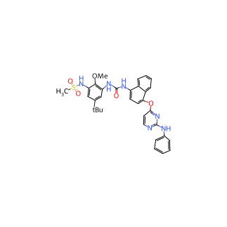 COc1c(NC(=O)Nc2ccc(Oc3ccnc(Nc4ccccc4)n3)c3ccccc23)cc(C(C)(C)C)cc1NS(C)(=O)=O